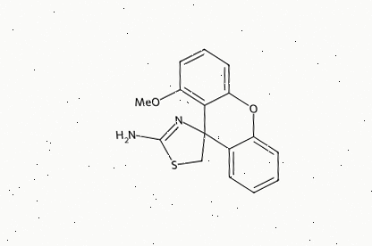 COc1cccc2c1C1(CSC(N)=N1)c1ccccc1O2